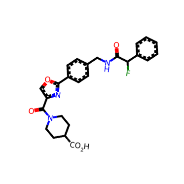 O=C(O)C1CCN(C(=O)c2coc(-c3ccc(CNC(=O)C(F)c4ccccc4)cc3)n2)CC1